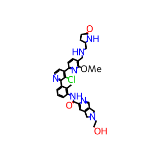 COc1nc(-c2ccnc(-c3cccc(NC(=O)c4cc5c(cn4)CN(CCO)C5)c3C)c2Cl)ccc1CNCC1CCC(=O)N1